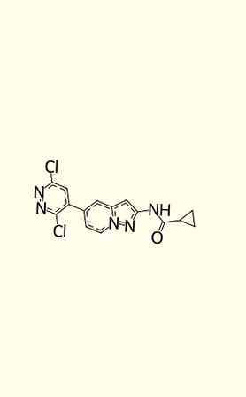 O=C(Nc1cc2cc(-c3cc(Cl)nnc3Cl)ccn2n1)C1CC1